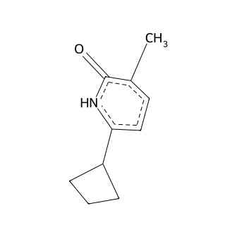 Cc1ccc(C2CCC2)[nH]c1=O